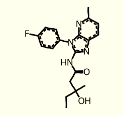 CCC(C)(O)CC(=O)Nc1nc2ccc(C)nc2n1-c1ccc(F)cc1